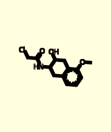 COc1cccc2c1CC(O)C(NC(=O)CCl)C2